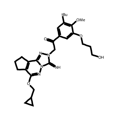 COc1c(OCCCO)cc(C(=O)Cn2nc3c4c(c(OCC5CC5)nn3c2=N)CCC4)cc1C(C)(C)C